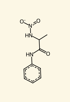 CC(N[N+](=O)[O-])C(=O)Nc1ccccc1